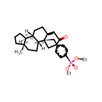 CCOP(=O)(OCC)c1ccc(C[C@]23CCC(=O)C=C2CC[C@@H]2[C@H]3CC[C@]3(C)CCC[C@@H]23)cc1